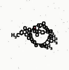 Cc1ccc(C(=O)OOC2CC3CCC2(OOC(=O)c2ccc(C)cc2C)COC(=O)OOOC(=O)c2ccc(C)c(c2C)C2CCCCC2c2c(C)ccc(c2C)C(=O)OOOC(=O)OC3)c(C)c1